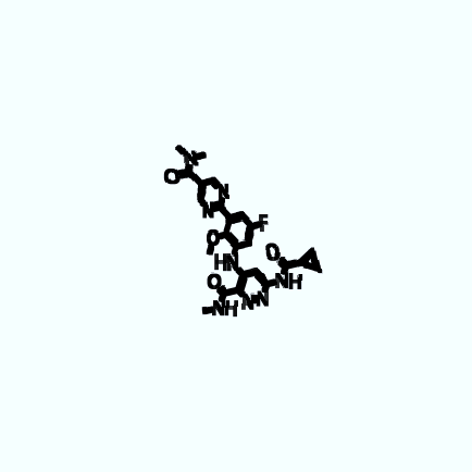 CNC(=O)c1nnc(NC(=O)C2CC2)cc1Nc1cc(F)cc(-c2ncc(C(=O)N(C)C)cn2)c1OC